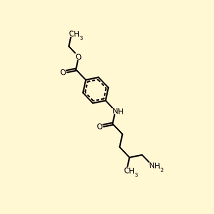 CCOC(=O)c1ccc(NC(=O)CCC(C)CN)cc1